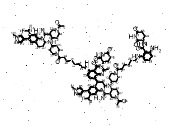 CC(=O)N1CCC(NC2CCN(C(=O)CCCCCCNc3ccc(C4CCN(C(N)C5CN(C(C)=O)CCC5NC5CCN(C(=O)CCCCCNc6cccc(N)c6C(=O)NC6CCC(=O)NC6=O)CC5)c5cc(C(F)F)c(-c6cnn(C)c6)cc54)c4nc(C)n(C5CCC(=O)NC5=O)c(=O)c34)CC2)C(C(N)N2CCCc3cc(-c4cnn(C)c4)c(C(F)F)cc32)C1